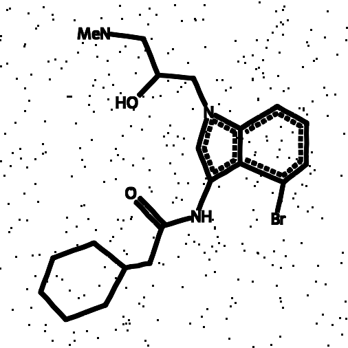 CNCC(O)Cn1cc(NC(=O)CC2CCCCC2)c2c(Br)cccc21